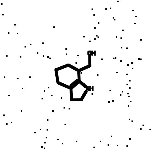 OCC1CCCC2=C1NCC2